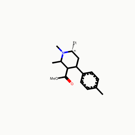 CC[C@@H]1CC(c2ccc(C)cc2)C(C(=O)OC)C(C)N1C